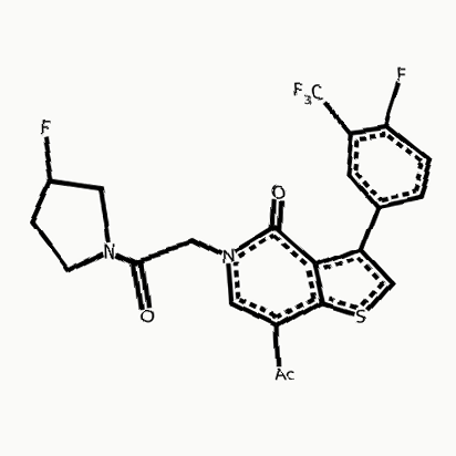 CC(=O)c1cn(CC(=O)N2CCC(F)C2)c(=O)c2c(-c3ccc(F)c(C(F)(F)F)c3)csc12